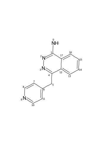 [NH]c1nnc(Cc2ccncc2)c2ccccc12